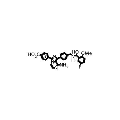 COc1ccc(F)cc1C(O)NCc1ccc(-c2nc(C34CCC(C(=O)O)(CC3)CC4)n3ccnc(N)c23)cc1